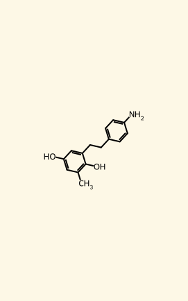 Cc1cc(O)cc(CCc2ccc(N)cc2)c1O